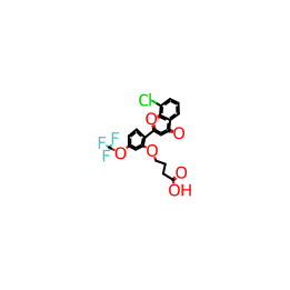 O=C(O)CCCOc1cc(OC(F)(F)F)ccc1-c1cc(=O)c2cccc(Cl)c2o1